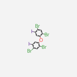 Brc1cc(Br)c(Oc2cc(I)c(Br)cc2Br)cc1I